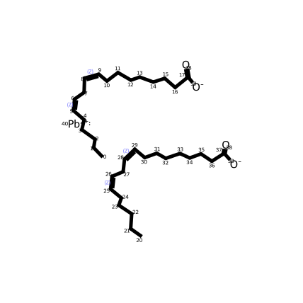 CCCCC/C=C\C/C=C\CCCCCCCC(=O)[O-].CCCCC/C=C\C/C=C\CCCCCCCC(=O)[O-].[Pb+2]